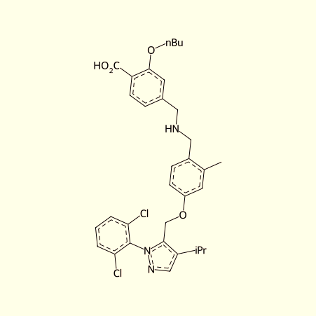 CCCCOc1cc(CNCc2ccc(OCc3c(C(C)C)cnn3-c3c(Cl)cccc3Cl)cc2C)ccc1C(=O)O